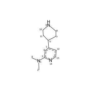 CN(C)c1cc(C2CCNCC2)ccn1